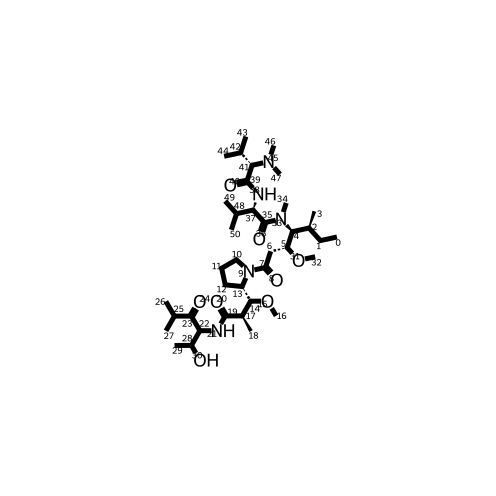 CC[C@H](C)[C@@H]([C@@H](CC(=O)N1CCC[C@H]1C(OC)[C@@H](C)C(=O)NC(C(=O)C(C)C)C(C)O)OC)N(C)C(=O)[C@@H](NC(=O)[C@H](C(C)C)N(C)C)C(C)C